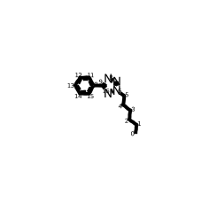 CCCCCCn1nnc(-c2cc[c]cc2)n1